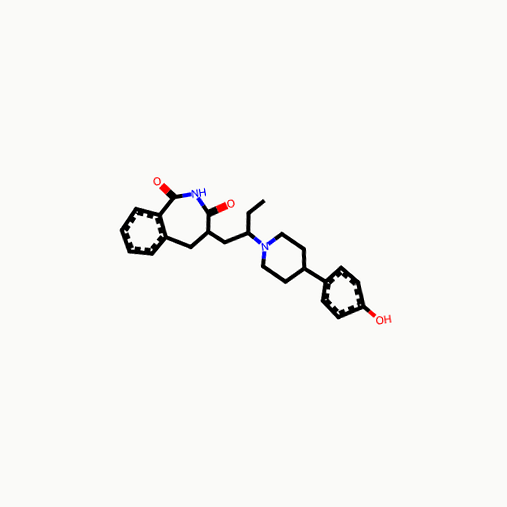 CCC(CC1Cc2ccccc2C(=O)NC1=O)N1CCC(c2ccc(O)cc2)CC1